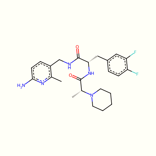 Cc1nc(N)ccc1CNC(=O)[C@H](Cc1ccc(F)c(F)c1)NC(=O)[C@@H](C)N1CCCCC1